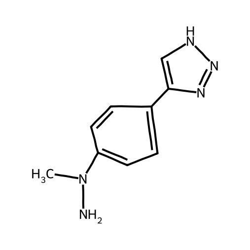 CN(N)c1ccc(-c2c[nH]nn2)cc1